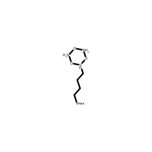 CCCCCCCCCC[SiH]1O[SiH2]O[SiH2]O1